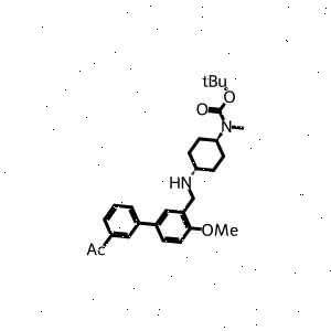 COc1ccc(-c2cccc(C(C)=O)c2)cc1CN[C@H]1CC[C@H](N(C)C(=O)OC(C)(C)C)CC1